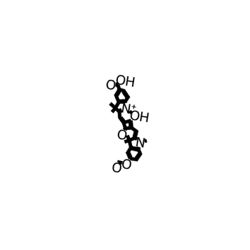 CN1/C(=C/C2=C(O)C(=C\C3=[N+](C)c4ccc(C(=O)O)cc4C3(C)C)/C2=O)C(C)(C)c2cc(OC=O)ccc21